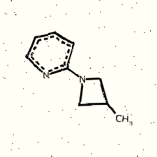 CC1CN(c2ccccn2)C1